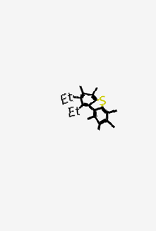 CCc1c(C)c(C)c2sc3c(C)c(C)c(C)c(C)c3c2c1CC